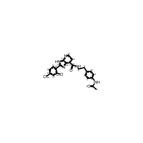 CC(=O)Nc1ccc(CCNC(=O)c2ccnc3[nH]c(-c4ccc(Cl)cc4Cl)nc23)cc1